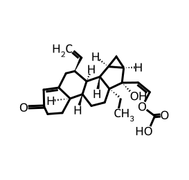 C=C[C@@H]1CC2=CC(=O)CC[C@@H]2[C@H]2CC[C@@]3(CC)[C@@H]([C@H]4C[C@H]4[C@@]3(O)/C=C\OC(=O)O)[C@@H]21